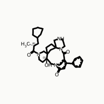 C[C@H](CC1CCCCC1)C(=O)N1CC[C@@]2(O)Cn3cc(c(-c4ccccc4)cc3=O)C(=O)N3CCNCC34CCC2(C1)C4